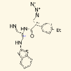 CCc1ccc([C@@H](CN=[N+]=[N-])C(=O)N/C(C=N)=C/Nc2nc3ccccc3s2)cc1